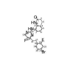 O=C1CCc2cccc(Nc3ncc(F)c(CCc4ccc(Br)cc4F)n3)c2N1